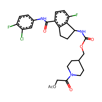 CC(=O)OCC(=O)N1CCC(COC(=O)NC2CCc3c(C(=O)Nc4ccc(F)c(Cl)c4)ccc(F)c32)CC1